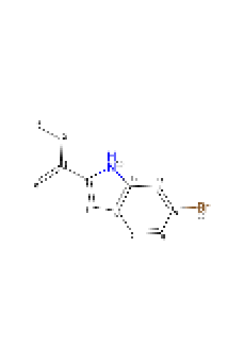 C=C(CC)c1cc2ccc(Br)cc2[nH]1